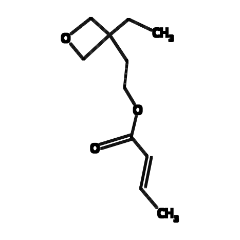 CC=CC(=O)OCCC1(CC)COC1